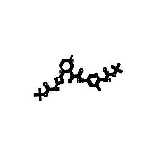 Cc1cc(NC(=O)C(=O)N2C[C@@H](C)CC[C@H]2[C@H]2C[C@H](NC(=O)OC(C)(C)C)C2)cnc1NC(=O)OC(C)(C)C